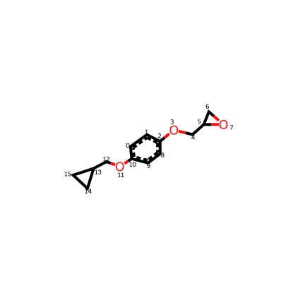 c1cc(OCC2CO2)ccc1OCC1CC1